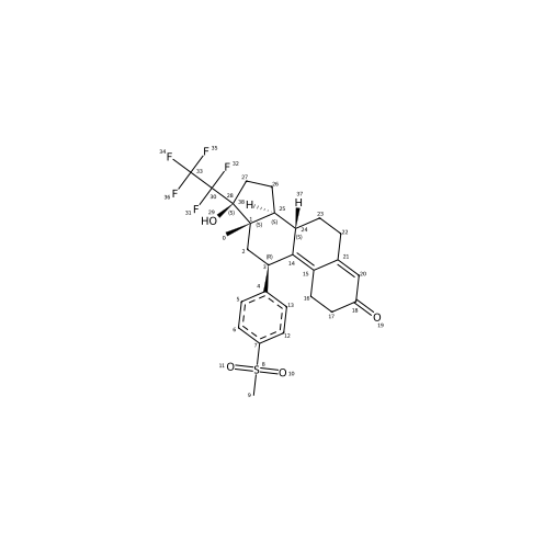 C[C@]12C[C@H](c3ccc(S(C)(=O)=O)cc3)C3=C4CCC(=O)C=C4CC[C@H]3[C@@H]1CC[C@@]2(O)C(F)(F)C(F)(F)F